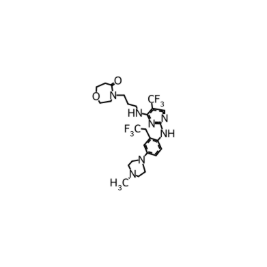 CN1CCN(c2ccc(Nc3ncc(C(F)(F)F)c(NCCCN4CCOCCC4=O)n3)c(CC(F)(F)F)c2)CC1